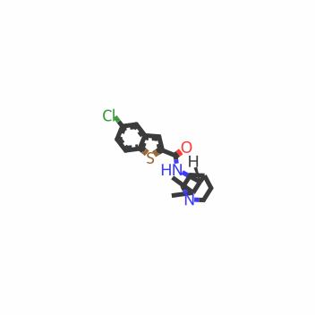 CC1(C)[C@H](NC(=O)c2cc3cc(Cl)ccc3s2)C2CCN1CC2